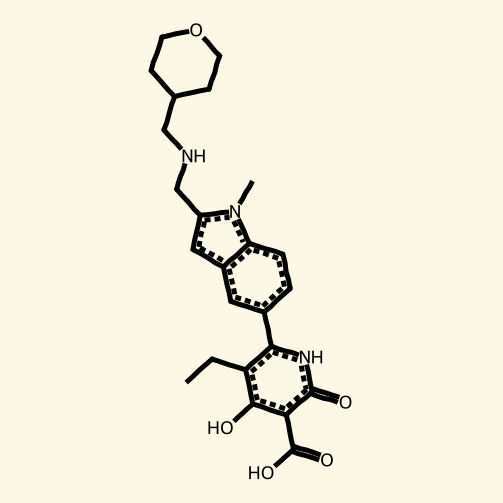 CCc1c(-c2ccc3c(c2)cc(CNCC2CCOCC2)n3C)[nH]c(=O)c(C(=O)O)c1O